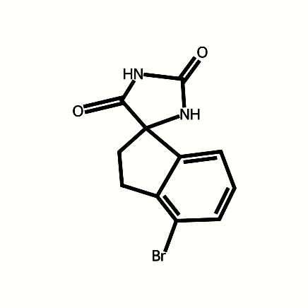 O=C1NC(=O)C2(CCc3c(Br)cccc32)N1